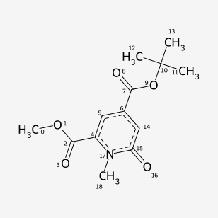 COC(=O)c1cc(C(=O)OC(C)(C)C)cc(=O)n1C